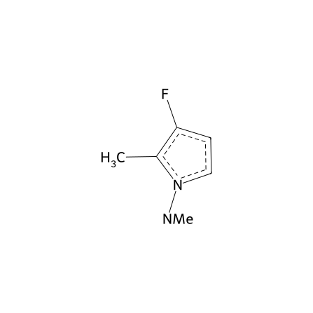 CNn1ccc(F)c1C